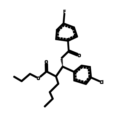 CCCCC(C(=O)OCCC)[C@H](CC(=O)c1ccc(F)cc1)c1ccc(Cl)cc1